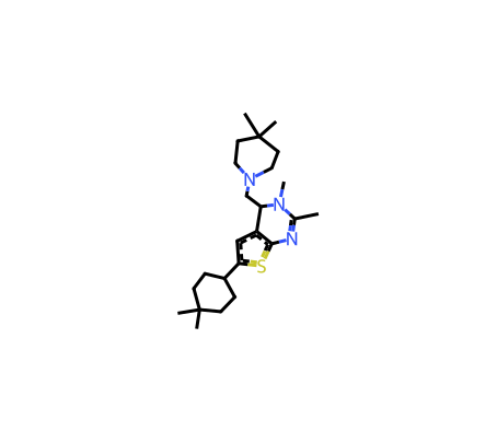 CC1=Nc2sc(C3CCC(C)(C)CC3)cc2C(CN2CCC(C)(C)CC2)N1C